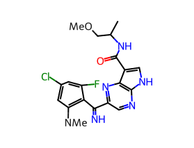 CNc1cc(Cl)cc(F)c1C(=N)c1cnc2[nH]cc(C(=O)NC(C)COC)c2n1